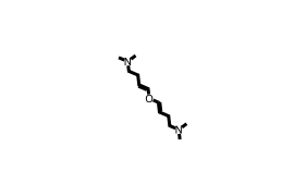 CN(C)CCC=COC=CCCN(C)C